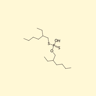 CCCCC(CC)COP(O)(=S)SCC(CC)CCCC